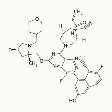 C#Cc1c(F)ccc2cc(O)cc(-c3ncc4c(N5C[C@H]6CC(C#N)[C@@H](C5)N6C(=O)C=C)nc(OC[C@]5(C)C[C@@H](F)CN5CC5CCOCC5)nc4c3F)c12